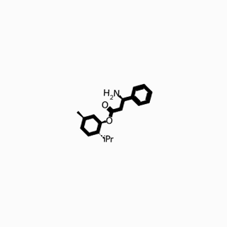 CC(C)[C@@H]1CC[C@@H](C)C[C@H]1OC(=O)C[C@@H](N)c1ccccc1